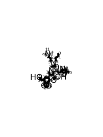 CCCCN(CCC[N+](C)(C)C)C(=O)CN1C[C@H](c2cc(CO)c3c(c2)OCO3)[C@@H](C(=O)O)[C@@H]1CCc1ncc(C)o1